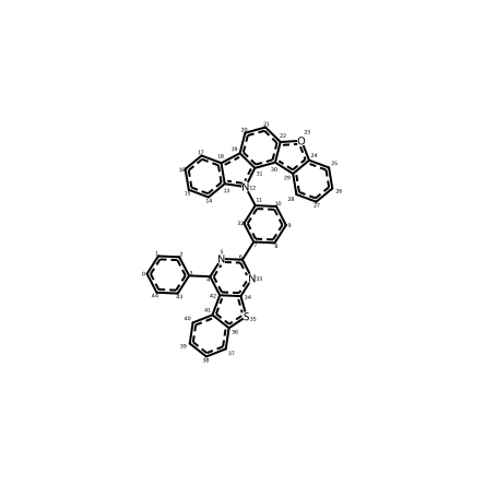 c1ccc(-c2nc(-c3cccc(-n4c5ccccc5c5ccc6oc7ccccc7c6c54)c3)nc3sc4ccccc4c23)cc1